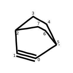 C1#CC2CC[C]1CC2